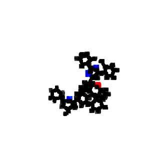 Cc1cc(-c2ccccc2)nc(-c2ccc3c(c2)-c2ccccc2C32c3ccccc3Oc3c(-c4cc(-c5ccccc5C)nc(-c5ccccc5)n4)cccc32)c1